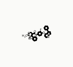 CN1OCC(C(=O)Nc2ccc(Oc3ccnn4ccc(-c5ccccc5)c34)c(F)c2)=C(c2ccccc2)N1C